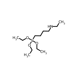 CCNCCCC[Si](OCC)(OCC)OCC